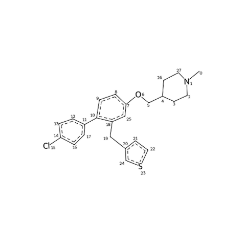 CN1CCC(COc2ccc(-c3ccc(Cl)cc3)c(Cc3ccsc3)c2)CC1